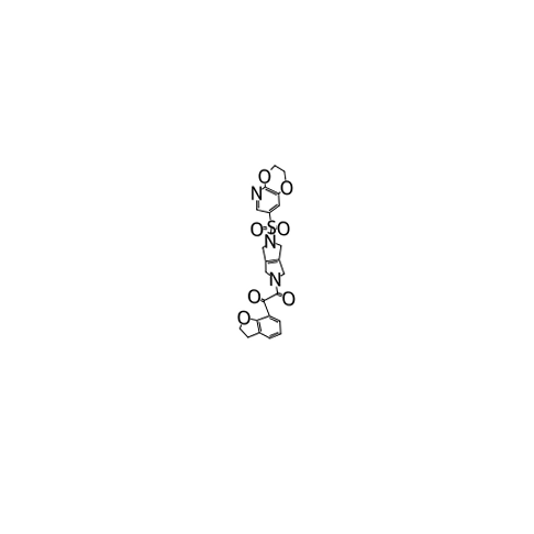 O=C(C(=O)N1CC2=C(C1)CN(S(=O)(=O)c1cnc3c(c1)OCCO3)C2)c1cccc2c1OCC2